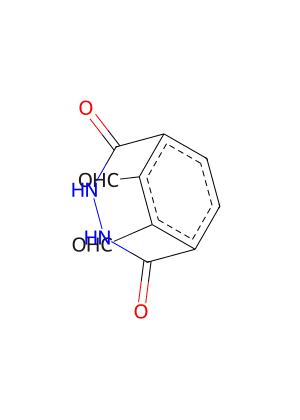 O=Cc1c2ccc(c1C=O)C(=O)NNC2=O